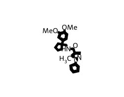 COc1ccc(C2(CNC(=O)c3cnn(-c4ccccc4)c3C)CCCC2)cc1OC